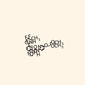 C[C@@H](NC(=O)c1ccc2c(n1)N(C(=O)Nc1ccc(OC[C@H]3COC(C)(C)O3)cn1)[C@H]1CCN2C1)C(F)(F)F